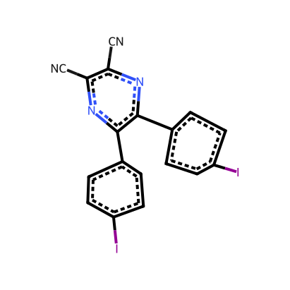 N#Cc1nc(-c2ccc(I)cc2)c(-c2ccc(I)cc2)nc1C#N